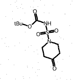 CC(C)(C)OC(=O)NS(=O)(=O)N1CCC(=O)CC1